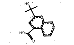 CC(C)(S)c1cc(C(=O)O)c2ccccc2n1